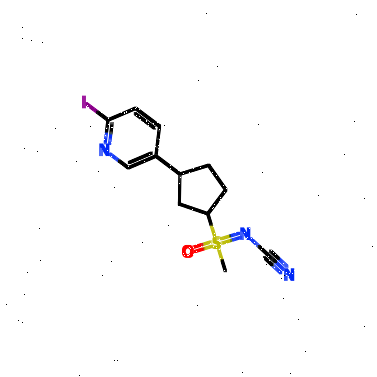 CS(=O)(=NC#N)C1CCC(c2ccc(I)nc2)C1